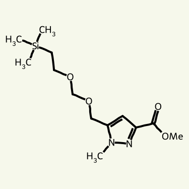 COC(=O)c1cc(COCOCC[Si](C)(C)C)n(C)n1